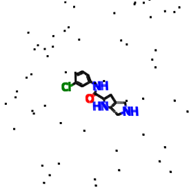 O=C(Nc1cccc(Cl)c1)C1CC2CNCC2N1